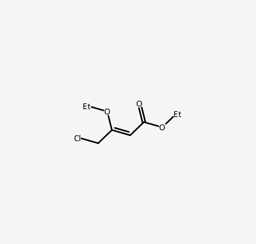 CCOC(=O)C=C(CCl)OCC